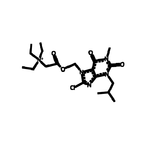 CC[N+](CC)(CC)CC(=O)OCn1c(Cl)nc2c1c(=O)n(C)c(=O)n2CC(C)C